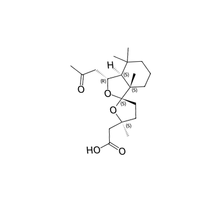 CC(=O)C[C@H]1O[C@]2(CC[C@@](C)(CC(=O)O)O2)[C@@]2(C)CCCC(C)(C)[C@H]12